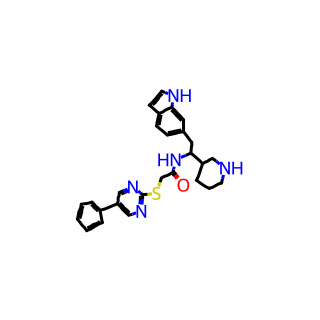 O=C(CSc1ncc(-c2ccccc2)cn1)NC(Cc1ccc2cc[nH]c2c1)C1CCCNC1